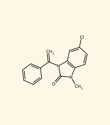 C=C(c1ccccc1)n1c(=O)n(C)c2ccc(Cl)cc21